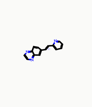 C(=C\c1ccccn1)/c1ccc2nccnc2c1